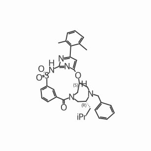 Cc1cccc(C)c1-c1cc2nc(n1)NS(=O)(=O)c1cccc(c1)C(=O)N1C[C@H](CN(Cc3ccccc3)[C@H](CC(C)C)C1)O2